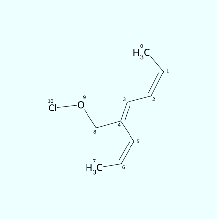 C\C=C/C=C(\C=C/C)COCl